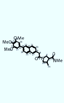 CNC(=O)C1CN(C(=O)Cc2ccc3cc(-c4cc(OC)c(OC)c(OC)c4)ccc3c2)CC1C